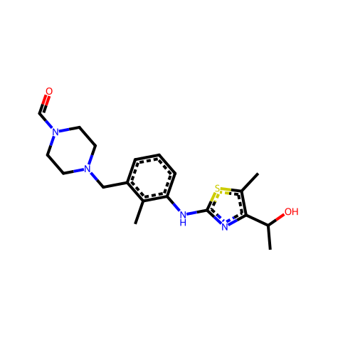 Cc1sc(Nc2cccc(CN3CCN(C=O)CC3)c2C)nc1C(C)O